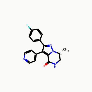 C[C@@H]1CNC(=O)c2c(-c3ccncc3)c(-c3ccc(F)cc3)nn21